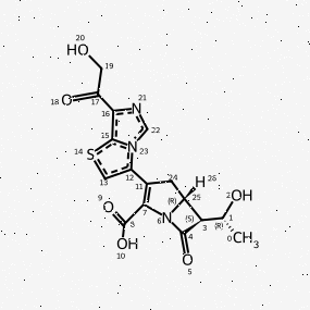 C[C@@H](O)[C@H]1C(=O)N2C(C(=O)O)=C(c3csc4c(C(=O)CO)ncn34)C[C@H]12